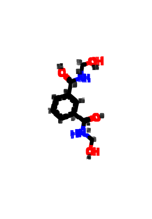 O=C(NCO)c1cccc(C(=O)NCO)c1